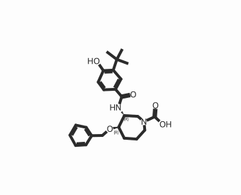 CC(C)(C)c1cc(C(=O)N[C@@H]2CN(C(=O)O)CCC[C@H]2OCc2ccccc2)ccc1O